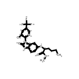 CCCCC(Oc1ccc2sc(=O)n(-c3ncc(C(F)(F)F)cc3Cl)c2c1)C(=O)OC